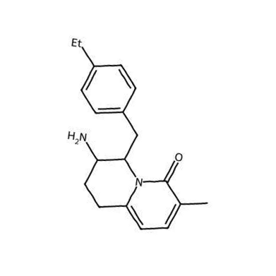 CCc1ccc(CC2C(N)CCc3ccc(C)c(=O)n32)cc1